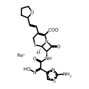 Nc1nc(/C(=N/O)C(=O)N[C@@H]2C(=O)N3C(C(=O)[O-])=C(/C=C/C4CCCO4)CS[C@H]23)cs1.[Na+]